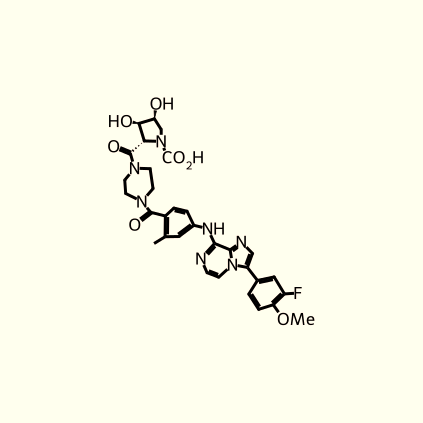 COc1ccc(-c2cnc3c(Nc4ccc(C(=O)N5CCN(C(=O)[C@@H]6[C@@H](O)[C@@H](O)CN6C(=O)O)CC5)c(C)c4)nccn23)cc1F